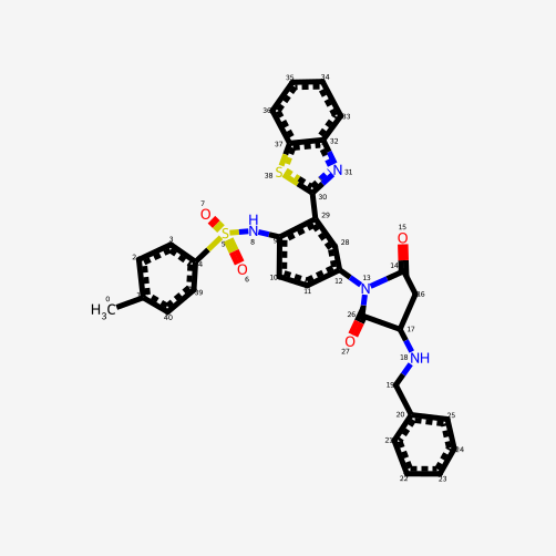 Cc1ccc(S(=O)(=O)Nc2ccc(N3C(=O)CC(NCc4ccccc4)C3=O)cc2-c2nc3ccccc3s2)cc1